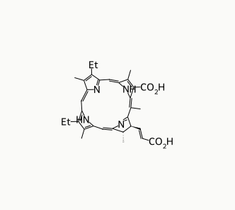 CCC1=C(C)c2cc3[nH]c(cc4nc(c(C)c5[nH]c(cc1n2)c(C)c5C(=O)O)[C@@H](/C=C/C(=O)O)[C@@H]4C)c(C)c3CC